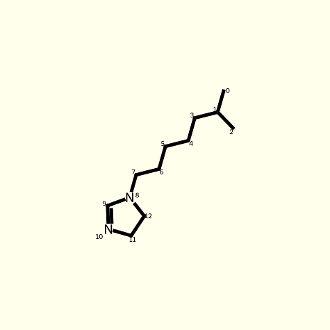 CC(C)CCCCCN1C=NCC1